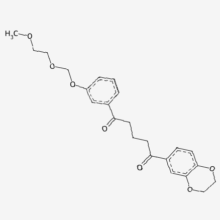 COCCOCOc1cccc(C(=O)CCCC(=O)c2ccc3c(c2)OCCO3)c1